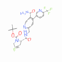 CC(C)(C)OC(=O)N1C[C@H](F)CC1C(=O)NCc1cc(-c2ccc(C(F)(F)F)nc2)c(C(N)=O)cn1